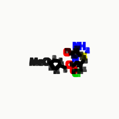 COc1ccc(COC(=O)C2=C(CCl)CSC3[C@H](N)C(=O)N23)cc1